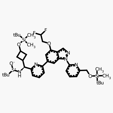 CC(C)(C)[S+]([O-])N[C@H](c1cccc(-c2cc(OCC(F)F)c3cnn(-c4cccc(CO[Si](C)(C)C(C)(C)C)n4)c3c2)n1)C1CC(O[Si](C)(C)C(C)(C)C)C1